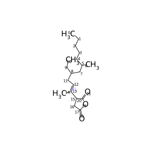 CCCCCC(C)CC(CC)C/C=C(\C)C1CC(=O)OC1=O